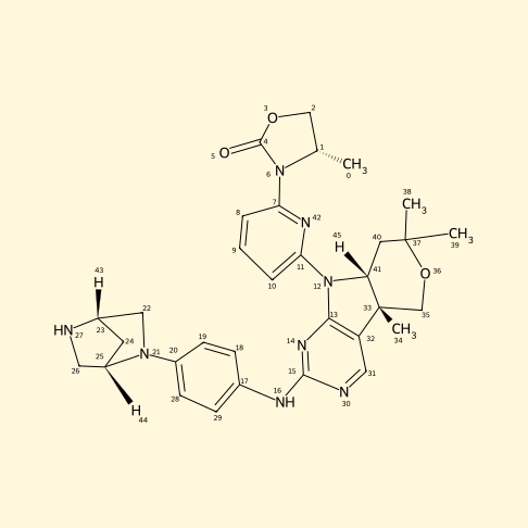 C[C@H]1COC(=O)N1c1cccc(N2c3nc(Nc4ccc(N5C[C@@H]6C[C@H]5CN6)cc4)ncc3[C@@]3(C)COC(C)(C)C[C@@H]23)n1